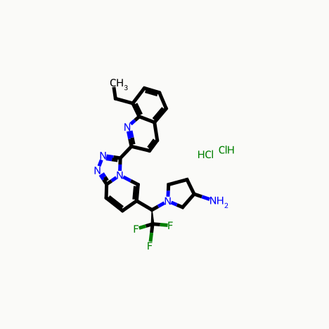 CCc1cccc2ccc(-c3nnc4ccc([C@@H](N5CCC(N)C5)C(F)(F)F)cn34)nc12.Cl.Cl